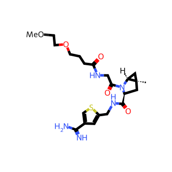 COCCOCCCC(=O)NCC(=O)N1[C@H]2C[C@@]2(C)C[C@H]1C(=O)NCc1cc(C(=N)N)cs1